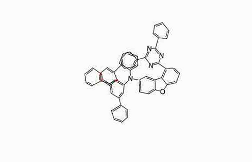 C1=C=CC(c2ccccc2N(c2cc(-c3ccccc3)cc(-c3ccccc3)c2)c2ccc3oc4cccc(-c5nc(C6=CC=CCC6)nc(-c6ccccc6)n5)c4c3c2)=CC=1